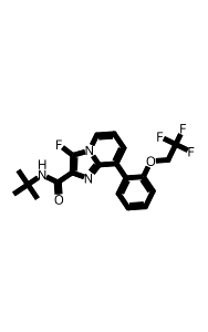 CC(C)(C)NC(=O)c1nc2c(-c3ccccc3OCC(F)(F)F)cccn2c1F